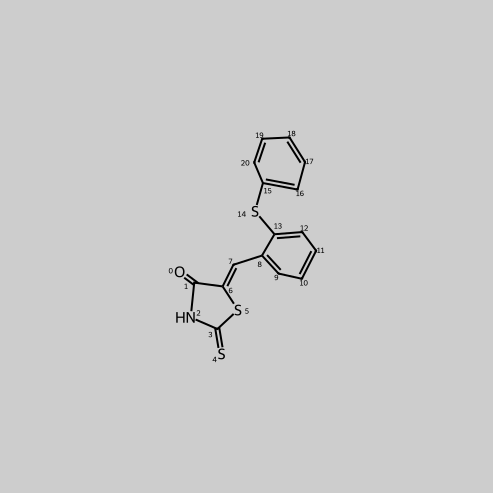 O=C1NC(=S)S/C1=C\c1ccccc1Sc1ccccc1